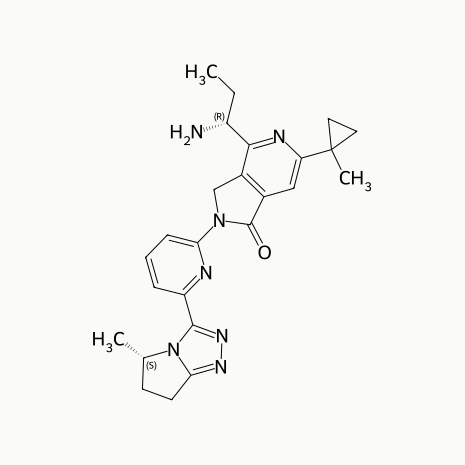 CC[C@@H](N)c1nc(C2(C)CC2)cc2c1CN(c1cccc(-c3nnc4n3[C@@H](C)CC4)n1)C2=O